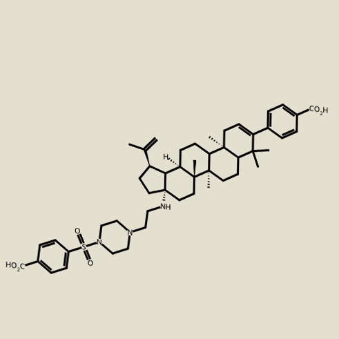 C=C(C)[C@@H]1CC[C@]2(NCCN3CCN(S(=O)(=O)c4ccc(C(=O)O)cc4)CC3)CC[C@]3(C)[C@H](CCC4[C@@]5(C)CC=C(c6ccc(C(=O)O)cc6)C(C)(C)C5CC[C@]43C)C12